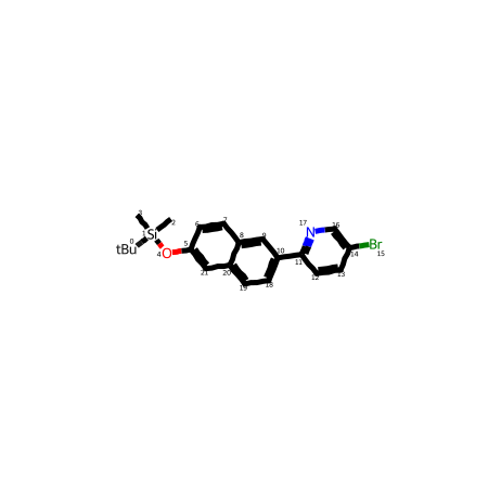 CC(C)(C)[Si](C)(C)Oc1ccc2cc(-c3ccc(Br)cn3)ccc2c1